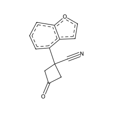 N#CC1(c2cccc3occc23)CC(=O)C1